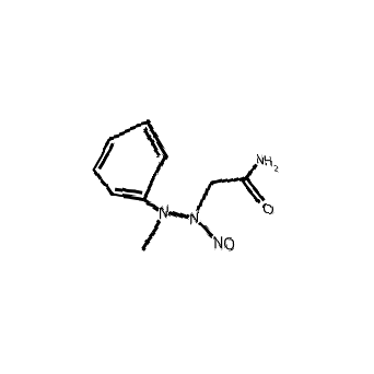 CN(c1ccccc1)N(CC(N)=O)N=O